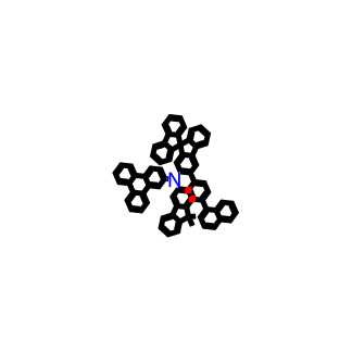 CC1(C)c2ccccc2-c2cc(N(c3ccc4c5ccccc5c5ccccc5c4c3)c3cc4c(cc3-c3ccc(-c5cccc6ccccc56)cc3)-c3ccccc3C43c4ccccc4-c4ccccc43)ccc21